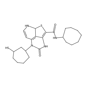 O=C(NC1CCCCCCC1)C1=C2NC(=O)N(C3CCCCC(S)C3)C3=C2C(NC=C3)S1